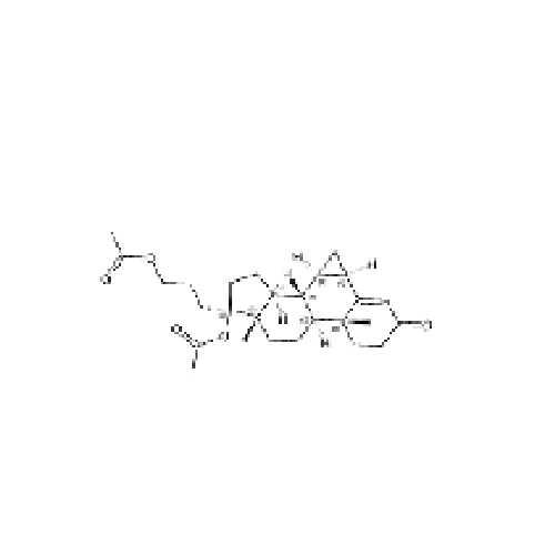 CC(=O)OCCC[C@]1(OC(C)=O)CC[C@H]2[C@@H]3[C@H]4C[C@H]4C4=CC(=O)CC[C@]4(C)[C@H]3CC[C@@]21C